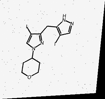 Ic1cn(C2CCOCC2)nc1Cc1[nH]ncc1I